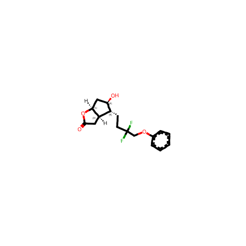 O=C1C[C@@H]2[C@@H](CCC(F)(F)COc3ccccc3)[C@H](O)C[C@@H]2O1